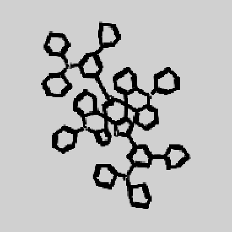 c1ccc(-c2cc(-c3cc4c(o3)C3(c5ccccc5N(c5ccccc5)c5ccccc53)c3cc(-c5cc(-c6ccccc6)cc(N(c6ccccc6)c6ccccc6)c5)oc3C43c4ccccc4N(c4ccccc4)c4ccccc43)cc(N(c3ccccc3)c3ccccc3)c2)cc1